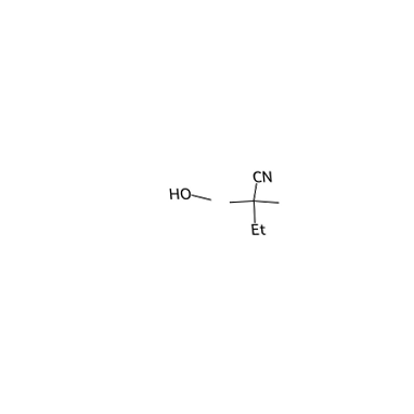 CCC(C)(C)C#N.CO